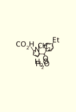 CCc1ccc(C(=O)c2ccc(CC(=O)O)n2C)cc1.O.O